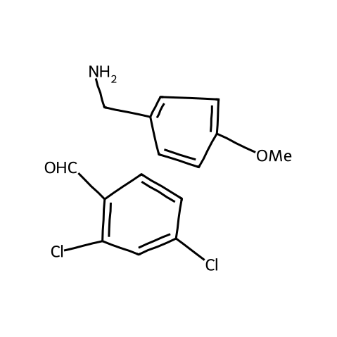 COc1ccc(CN)cc1.O=Cc1ccc(Cl)cc1Cl